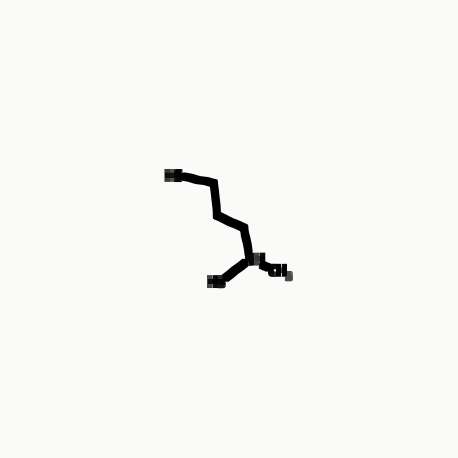 C[SiH](S)CCCS